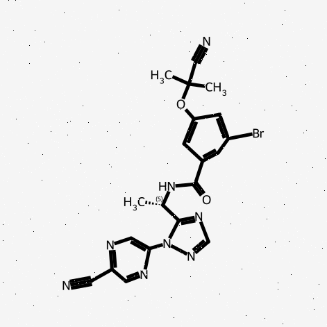 C[C@H](NC(=O)c1cc(Br)cc(OC(C)(C)C#N)c1)c1ncnn1-c1cnc(C#N)cn1